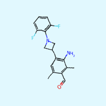 Cc1cc(C2CN(c3c(F)cccc3F)C2)c(N)c(C)c1C=O